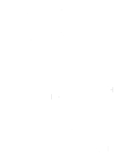 O=P(O)(S)OCC(O)C(O)C(O)C(O)CO